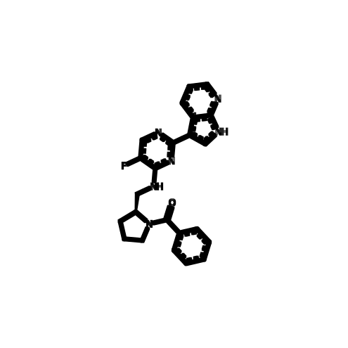 O=C(c1ccccc1)N1CCC[C@H]1CNc1nc(-c2c[nH]c3ncccc23)ncc1F